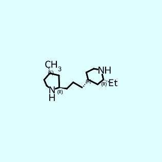 CC[C@@H]1C[C@H](CCC[C@@H]2C[C@@H](C)CCN2)CCN1